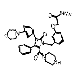 CNC(=O)COc1cccc(Cn2c(C(=O)N3CCNCC3)c(-c3ccccc3)n(-c3cccc(N4CCOCC4)c3)c2=O)c1